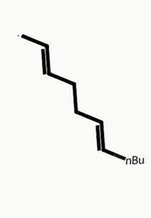 [CH2]C=CCCC=CCCCC